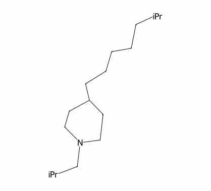 CC(C)CCCCCC1CCN(CC(C)C)CC1